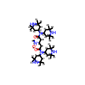 C=[N+]([O-])C(CC(=O)N(C1CC(C)(C)NC(C)(C)C1)C1CC(C)(C)NC(C)(C)C1)CC(=O)N(C1CC(C)(C)NC(C)(C)C1)C1CC(C)(C)NC(C)(C)C1